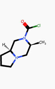 C[C@H]1CN2CCC[C@H]2CN1C(=O)Cl